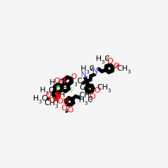 C=CCc1ccc2c(c1)OCO2.CC1(C)O[C@@H]2C[C@H]3[C@@H]4C[C@H](F)C5=CC(=O)C=C[C@]5(C)[C@@]4(F)[C@@H](O)C[C@]3(C)[C@]2(C(=O)CO)O1.COc1ccc(CCN(C)CCCC(C#N)(c2ccc(OC)c(OC)c2)C(C)C)cc1OC